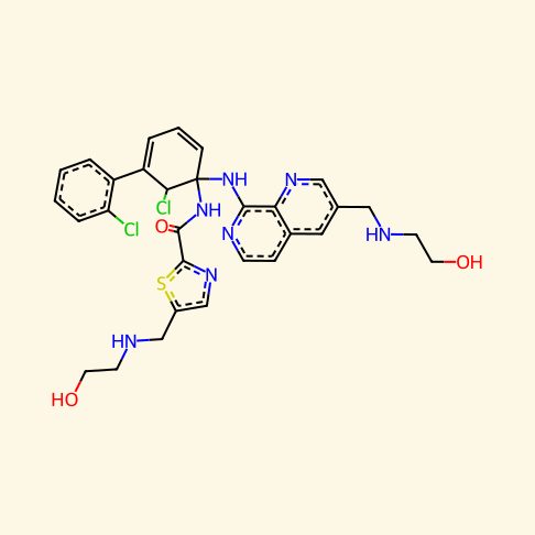 O=C(NC1(Nc2nccc3cc(CNCCO)cnc23)C=CC=C(c2ccccc2Cl)C1Cl)c1ncc(CNCCO)s1